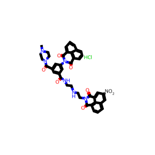 CN1CCN(C(=O)c2cc(C(=O)NCCNCCN3C(=O)c4cccc5cc([N+](=O)[O-])cc(c45)C3=O)cc(N3C(=O)c4cccc5cccc(c45)C3=O)c2)CC1.Cl